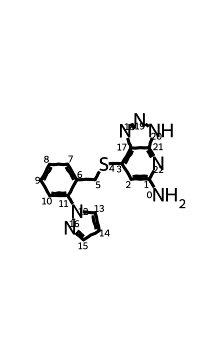 Nc1cc(SCc2ccccc2-n2cccn2)c2nn[nH]c2n1